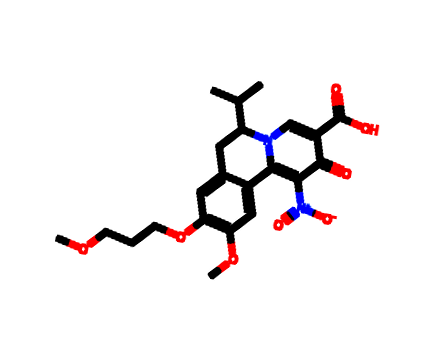 COCCCOc1cc2c(cc1OC)-c1c([N+](=O)[O-])c(=O)c(C(=O)O)cn1C(C(C)C)C2